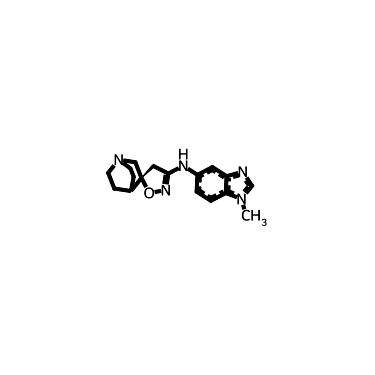 Cn1cnc2cc(NC3=NO[C@@]4(C3)CN3CCC4CC3)ccc21